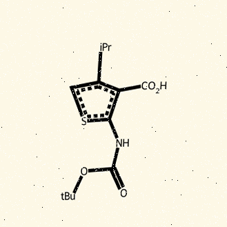 CC(C)c1csc(NC(=O)OC(C)(C)C)c1C(=O)O